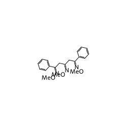 CON=C(CC(=NOC)c1ccccc1)CC(=NOC)c1ccccc1